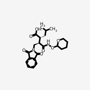 CC(C)C[C@@H](C(=O)O)[C@H](CN1C(=O)c2ccccc2C1=O)C(=O)NOC1CCCCO1